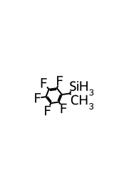 CC([SiH3])c1c(F)c(F)c(F)c(F)c1F